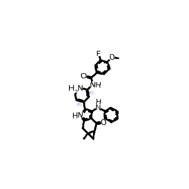 C/C=C(\C=C(/N)NC(=O)c1ccc(OC)c(F)c1)c1[nH]c2c(c1Nc1ccccc1)C(=O)C1CC1(C)C2